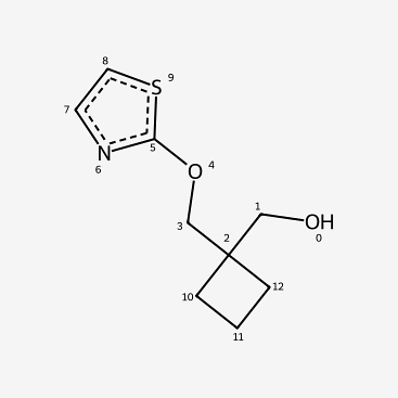 OCC1(COc2nccs2)CCC1